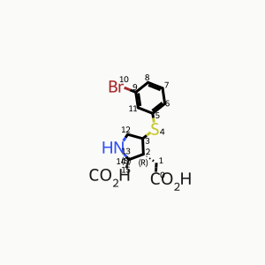 O=C(O)C[C@H]1C(Sc2cccc(Br)c2)CN[C@@H]1C(=O)O